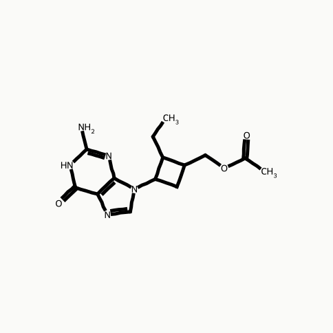 CCC1C(COC(C)=O)CC1n1cnc2c(=O)[nH]c(N)nc21